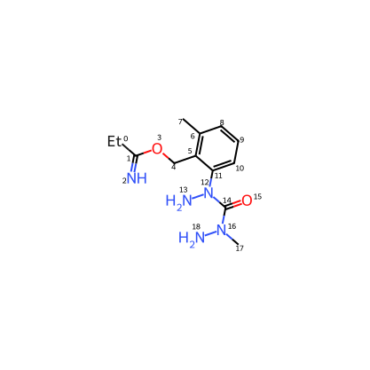 CCC(=N)OCc1c(C)cccc1N(N)C(=O)N(C)N